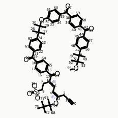 C#CC/C(=C\C=C(/CCS(=O)(=O)Cl)C(=O)c1ccc(C(=O)c2ccc(C(C)(C)C(C)(C)Oc3ccc(C(=O)c4ccc(C(=O)c5ccc(C(C)(C)C(C)(C)OC)cc5)cc4)cc3)cc2)cc1)OC(C)(C)C(C)(C)C